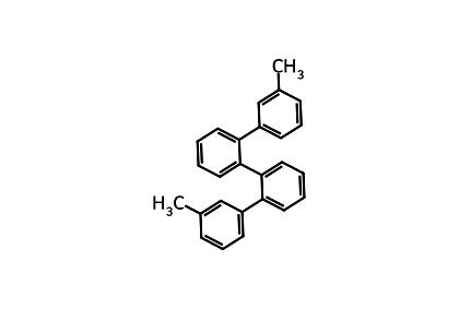 Cc1cccc(-c2ccccc2-c2ccccc2-c2cccc(C)c2)c1